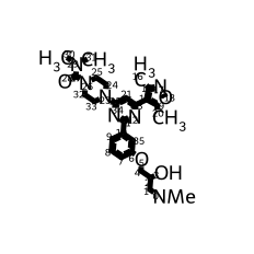 CNCC(O)COc1cccc(-c2nc(-c3c(C)noc3C)cc(N3CCN(C(=O)N(C)C)CC3)n2)c1